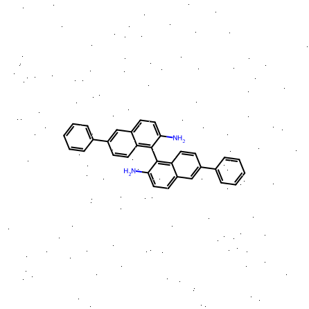 Nc1ccc2cc(-c3ccccc3)ccc2c1-c1c(N)ccc2cc(-c3ccccc3)ccc12